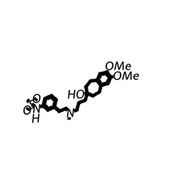 COc1cc2c(cc1OC)CCC(O)(CCCN(C)CCc1cccc(NS(C)(=O)=O)c1)CC2